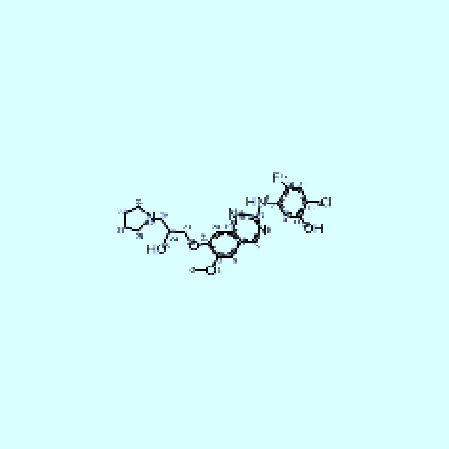 COc1cc2cnc(Nc3cc(O)c(Cl)cc3F)nc2cc1OCC(O)CN1CCCC1